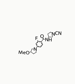 COC1CCN(c2ccc(C(=O)NC3CCN(C#N)C3)c(F)c2)C1